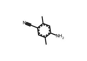 Cc1cc(C#N)c(C)cc1N